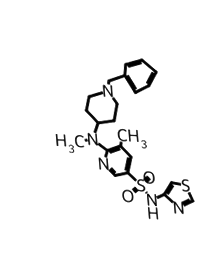 Cc1cc(S(=O)(=O)Nc2cscn2)cnc1N(C)C1CCN(Cc2ccccc2)CC1